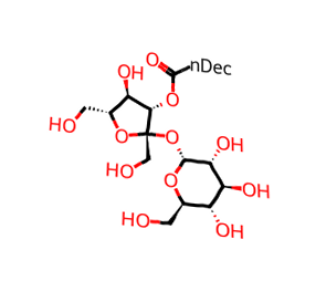 CCCCCCCCCCC(=O)O[C@H]1[C@H](O)[C@@H](CO)O[C@@]1(CO)O[C@H]1O[C@H](CO)[C@@H](O)[C@H](O)[C@H]1O